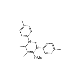 COC1=C(C)C(C)N(c2ccc(C)cc2)[CH]N1c1ccc(C)cc1